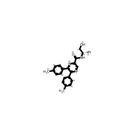 Cc1ccc(-c2ncc(C(=O)N[C@H](CO)C(C)C)nc2-c2ccc(C)cc2)cc1